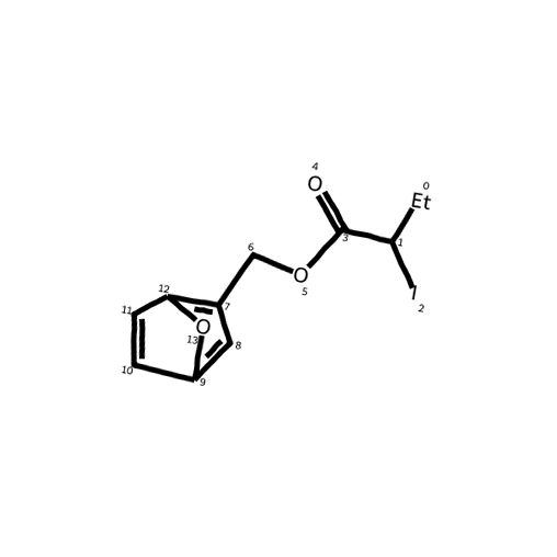 CCC(I)C(=O)OCc1cc2ccc1o2